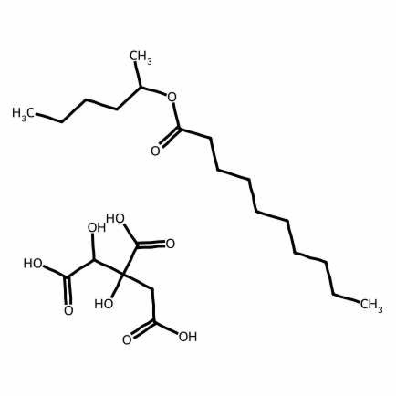 CCCCCCCCCC(=O)OC(C)CCCC.O=C(O)CC(O)(C(=O)O)C(O)C(=O)O